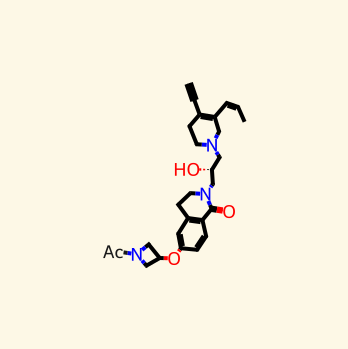 C#CC1=C(/C=C\C)CN(C[C@@H](O)CN2CCc3cc(OC4CN(C(C)=O)C4)ccc3C2=O)CC1